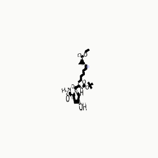 CCOC(=O)[C@H]1C[C@H]1/C=C\CCCCC[C@H](NC(=O)OC(C)(C)C)C(=O)N1C[C@@H](O)C[C@H]1C(N)=O